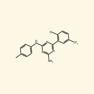 Cc1ccc(Nc2nc(N)nc(-c3cc(C(F)(F)F)ccc3Cl)n2)cc1